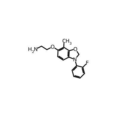 Cc1c(OCCN)ccc2c1OCN2c1ccccc1F